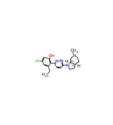 CCc1cc(Cl)cc(O)c1-c1ccc(N2CC[C@@H]3CCN(C)C[C@@H]32)nn1